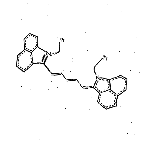 CC(C)Cn1\c(=C/C=C/C=C/C2=[N+](CC(C)C)c3cccc4cccc2c34)c2cccc3cccc1c32